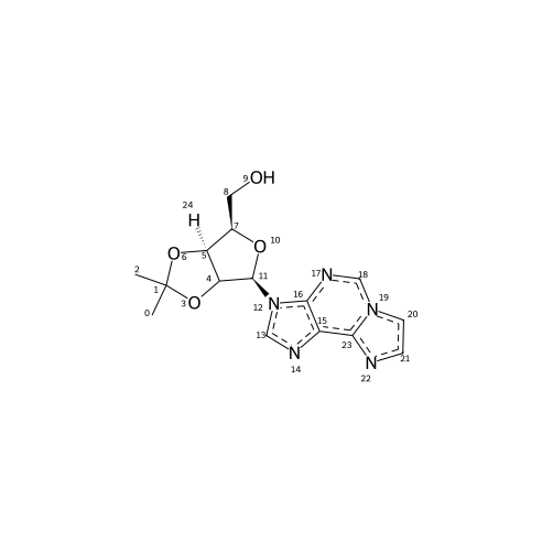 CC1(C)OC2[C@@H](O1)[C@@H](CO)O[C@H]2n1cnc2c1ncn1ccnc21